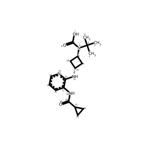 CC(C)(C)N(C(=O)O)[C@H]1C[C@H](Nc2ncccc2NC(=O)C2CC2)C1